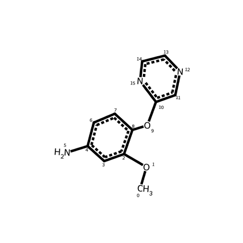 COc1cc(N)ccc1Oc1cnccn1